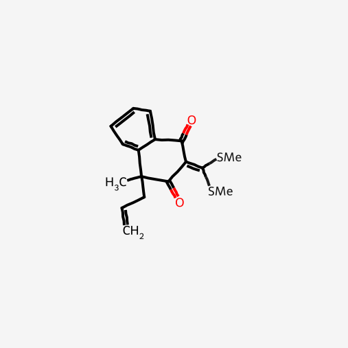 C=CCC1(C)C(=O)C(=C(SC)SC)C(=O)c2ccccc21